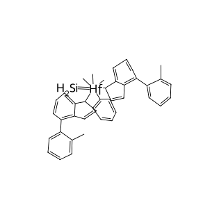 Cc1ccccc1-c1cccc2c1C=C[CH]2[Hf]([CH3])([CH3])([CH3])(=[SiH2])([c]1ccccc1)[CH]1C=Cc2c(-c3ccccc3C)cccc21